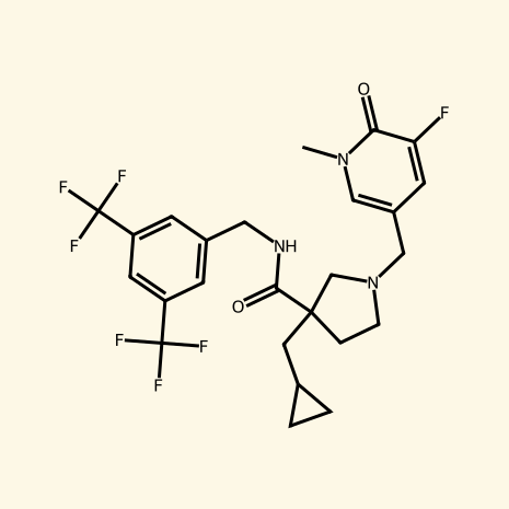 Cn1cc(CN2CCC(CC3CC3)(C(=O)NCc3cc(C(F)(F)F)cc(C(F)(F)F)c3)C2)cc(F)c1=O